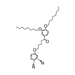 CCCCCCCCOc1ccc(C(=O)CCCCOc2ccc(C#N)c(C#N)c2)cc1OCCCCCCCC